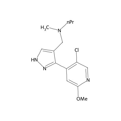 CCCN(C)Cc1c[nH]nc1-c1cc(OC)ncc1Cl